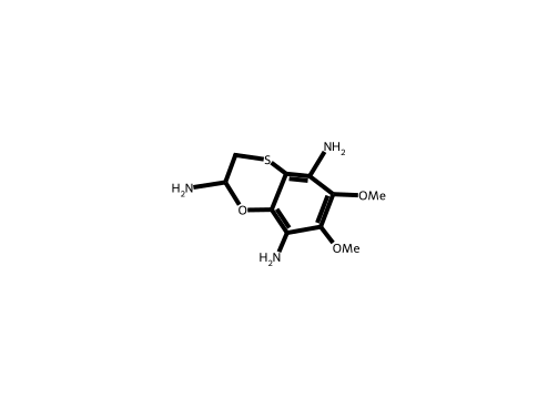 COc1c(N)c2c(c(N)c1OC)SCC(N)O2